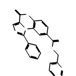 O=C(NCc1ccccn1)c1ccc2[nH]c(=O)c3cnc(-c4ccccc4)n3c2c1